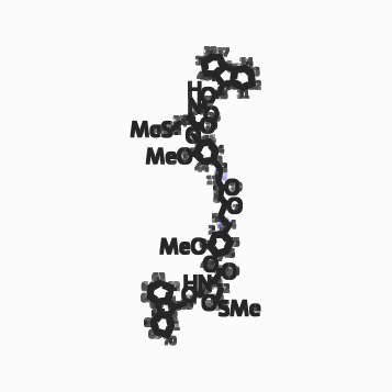 COc1cc(/C=C/C(=O)CC(=O)/C=C/c2ccc(OC(=O)[C@H](CCSC)NC(=O)OCC3c4ccccc4-c4ccccc43)c(OC)c2)ccc1OC(=O)[C@H](CCSC)NC(=O)OCC1c2ccccc2-c2ccccc21